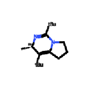 C[C@@H]1N=C(C(C)(C)C)N2CCCC2=C1C(C)(C)C